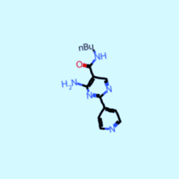 CCCCNC(=O)c1cnc(-c2ccncc2)nc1N